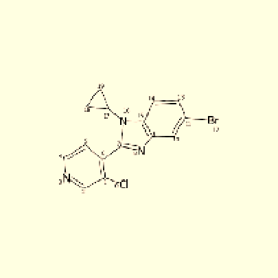 Clc1cnccc1-c1nc2cc(Br)ccc2n1C1CC1